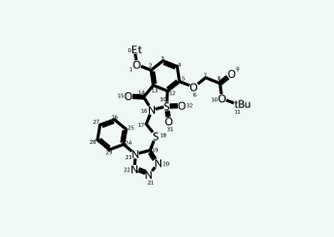 CCOc1ccc(OCC(=O)OC(C)(C)C)c2c1C(=O)N(CSc1nnnn1-c1ccccc1)S2(=O)=O